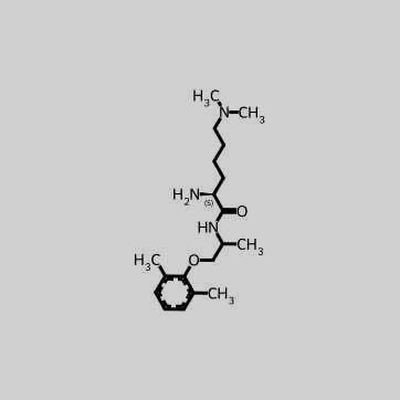 Cc1cccc(C)c1OCC(C)NC(=O)[C@@H](N)CCCCN(C)C